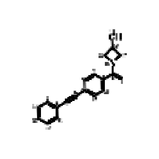 C=C(c1ccc(C#Cc2ccccc2)cc1)N1CC(O)C1